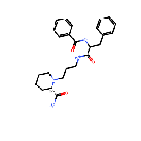 NC(=O)[C@@H]1CCCCN1CCCNC(=O)C(Cc1ccccc1)NC(=O)c1ccccc1